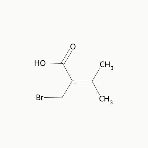 CC(C)=C(CBr)C(=O)O